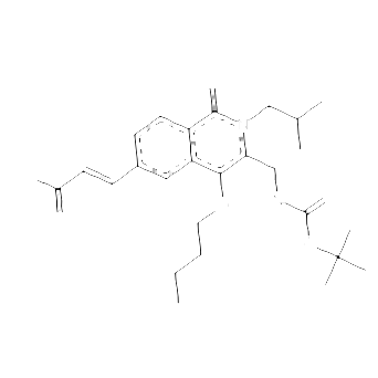 CCCCOc1c(CNC(=O)OC(C)(C)C)n(CC(C)C)c(=O)c2ccc(C=CC(=O)O)cc12